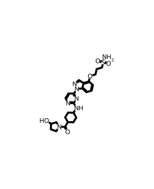 NS(=O)(=O)CCCOc1cccc2c1cnn2-c1ccnc(NC2CCC(C(=O)N3CCC(O)C3)CC2)n1